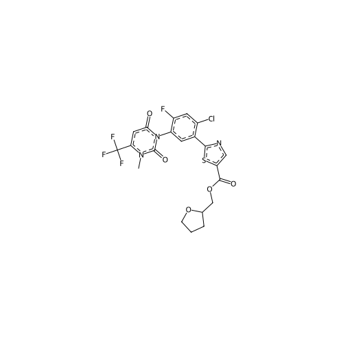 Cn1c(C(F)(F)F)cc(=O)n(-c2cc(-c3ncc(C(=O)OCC4CCCO4)s3)c(Cl)cc2F)c1=O